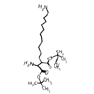 CC(C)(C)OC(=O)C(N)C(CCCCCCCCCCN)C(=O)OC(C)(C)C